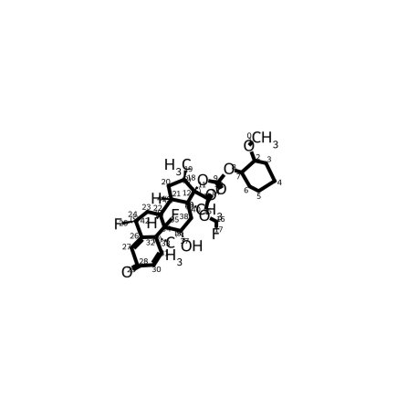 COC1CCCCC1OC(=O)O[C@@]1(C(=O)OCF)[C@H](C)C[C@H]2[C@@H]3C[C@H](F)C4=CC(=O)C=C[C@]4(C)C3(F)[C@@H](O)C[C@@]21C